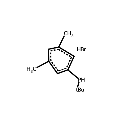 Br.Cc1cc(C)cc(PC(C)(C)C)c1